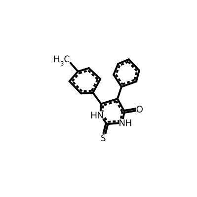 Cc1ccc(-c2[nH]c(=S)[nH]c(=O)c2-c2ccccc2)cc1